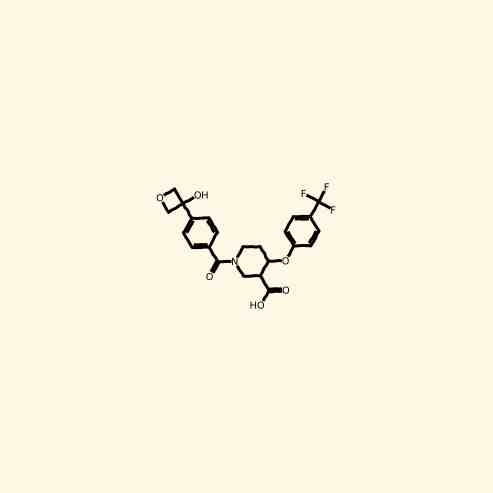 O=C(O)C1CN(C(=O)c2ccc(C3(O)COC3)cc2)CCC1Oc1ccc(C(F)(F)F)cc1